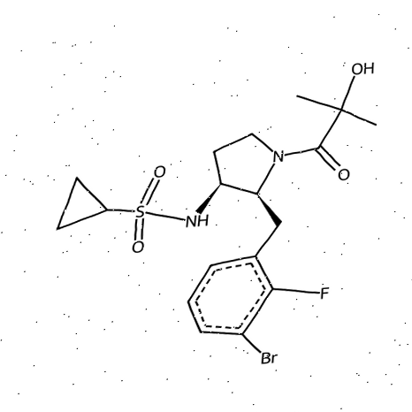 CC(C)(O)C(=O)N1CC[C@H](NS(=O)(=O)C2CC2)[C@@H]1Cc1cccc(Br)c1F